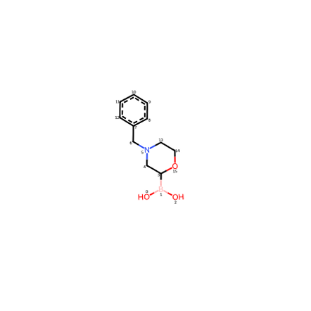 OB(O)C1CN(Cc2ccccc2)CCO1